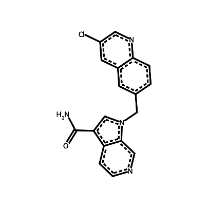 NC(=O)c1cn(Cc2ccc3ncc(Cl)cc3c2)c2cnccc12